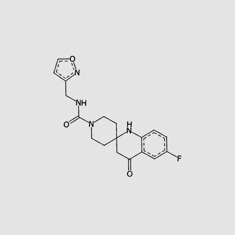 O=C1CC2(CCN(C(=O)NCc3ccon3)CC2)Nc2ccc(F)cc21